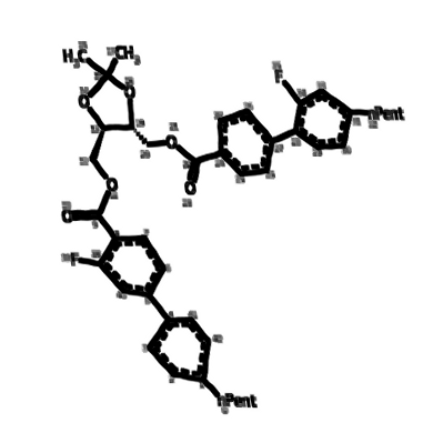 CCCCCc1ccc(-c2ccc(C(=O)OC[C@H]3OC(C)(C)O[C@@H]3COC(=O)c3ccc(-c4ccc(CCCCC)cc4F)cc3)c(F)c2)cc1